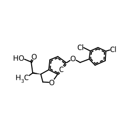 CC(C(=O)O)[C@@H]1COc2cc(OCc3ccc(Cl)cc3Cl)ccc21